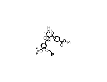 CC(C)OC(=O)C1CCN(C(=O)c2nc(-c3ccc(OC(F)F)c(OCC4CC4)c3)oc2[C@H](C)N)CC1